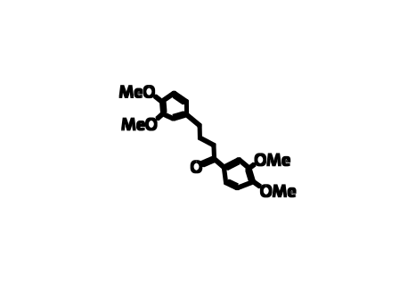 COc1ccc(CCCC(=O)c2ccc(OC)c(OC)c2)cc1OC